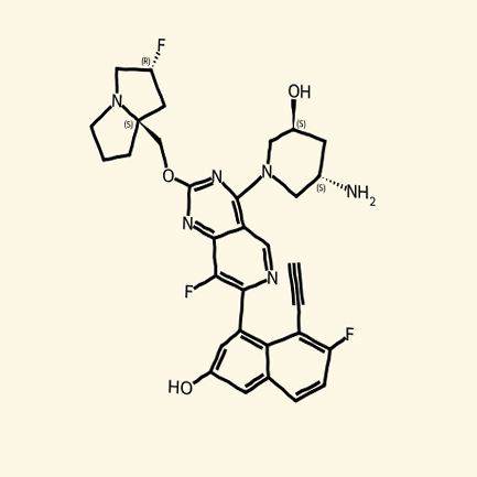 C#Cc1c(F)ccc2cc(O)cc(-c3ncc4c(N5C[C@@H](N)C[C@H](O)C5)nc(OC[C@@]56CCCN5C[C@H](F)C6)nc4c3F)c12